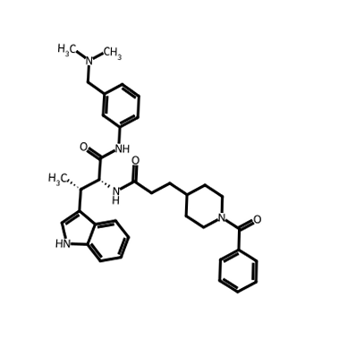 C[C@@H](c1c[nH]c2ccccc12)[C@@H](NC(=O)CCC1CCN(C(=O)c2ccccc2)CC1)C(=O)Nc1cccc(CN(C)C)c1